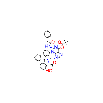 CC(C)(C)C(=O)Oc1nc(NC(=O)Cc2ccccc2)nc2c1ncn2C1CN(C(c2ccccc2)(c2ccccc2)c2ccccc2)CC(CO)O1